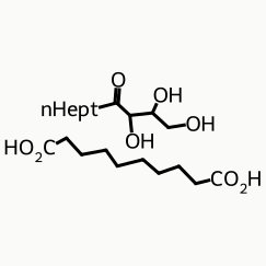 CCCCCCCC(=O)C(O)C(O)CO.O=C(O)CCCCCCCCC(=O)O